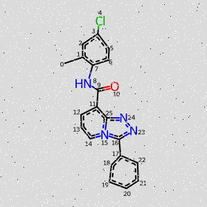 Cc1cc(Cl)ccc1NC(=O)c1cccn2c(-c3ccccc3)nnc12